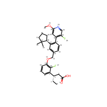 CC[C@@H](CC(=O)O)c1cccc(OCc2ccc(-c3cc(OC)ncc3F)c([C@@H]3CCCC3(C)C)c2)c1F